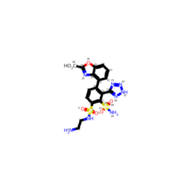 NCCNS(=O)(=O)c1ccc(-c2cccc3oc(C(=O)O)nc23)c(-c2nn[nH]n2)c1S(N)(=O)=O